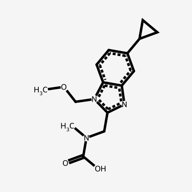 COCn1c(CN(C)C(=O)O)nc2cc(C3CC3)ccc21